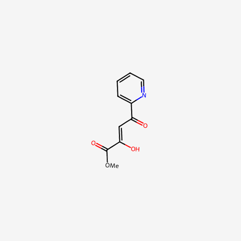 COC(=O)/C(O)=C/C(=O)c1ccccn1